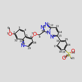 COc1ccc2c(OCc3nnc4ccc(-c5ccc(S(C)(=O)=O)cc5)nn34)ccnc2c1